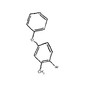 Cc1cc(Oc2ccccc2)ccc1Br